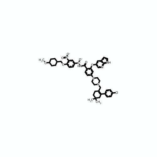 COC1CCC(COc2ccc([S+]([O-])NC(=O)c3ccc(N4CCN(CC5=C(c6ccc(Cl)cc6)CC(C)(C)CC5)CC4)cc3Oc3cnc4[nH]ccc4c3)cc2[N+](=O)[O-])CC1